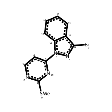 CSc1nccc(-n2nc(Br)c3ccccc32)n1